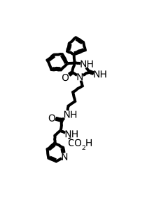 N=C1NC(c2ccccc2)(c2ccccc2)C(=O)N1CCCCNC(=O)C(Cc1cccnc1)NC(=O)O